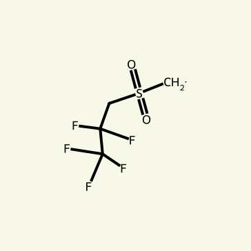 [CH2]S(=O)(=O)CC(F)(F)C(F)(F)F